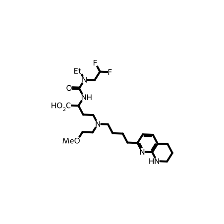 CCN(CC(F)F)C(=O)NC(CCN(CCCCc1ccc2c(n1)NCCC2)CCOC)C(=O)O